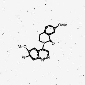 CCc1cc2nncc(N3CCc4ccc(OC)cc4C3=O)c2cc1OC